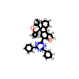 c1ccc(-c2nc(-c3ccccc3)nc(-c3cc4c(c5ccoc35)-c3ccccc3C43c4ccccc4Oc4ccccc43)n2)cc1